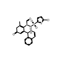 CC1=C(N(C=O)NS(=O)(=O)c2ccc(Cl)s2)C(C2NC=Cc3ccccc32)=CC(=O)C1